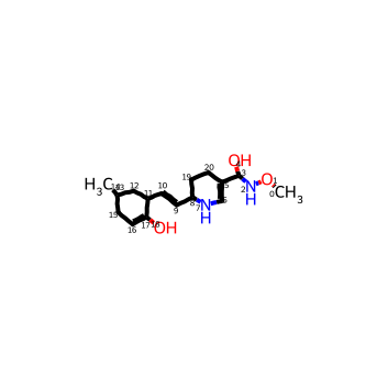 CONC(O)C1=CNC(/C=C/C2CC(C)CC=C2O)CC1